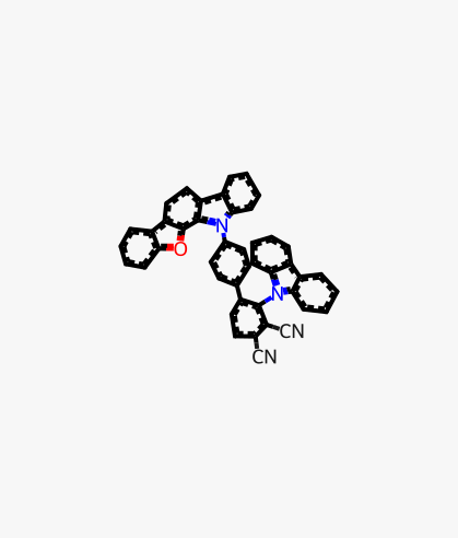 N#Cc1ccc(-c2ccc(-n3c4ccccc4c4ccc5c6ccccc6oc5c43)cc2)c(-n2c3ccccc3c3ccccc32)c1C#N